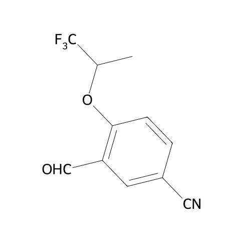 CC(Oc1ccc(C#N)cc1C=O)C(F)(F)F